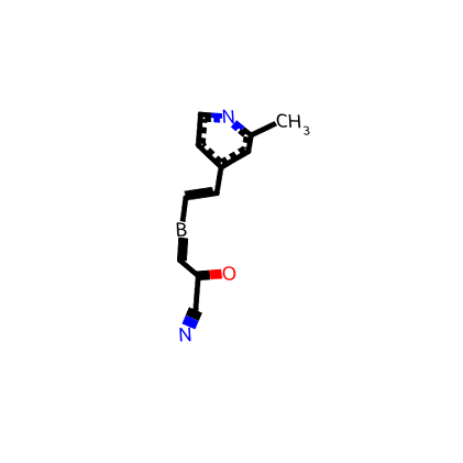 Cc1cc(/C=C/B=C/C(=O)C#N)ccn1